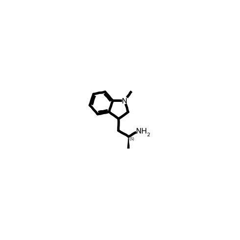 C[C@H](N)CC1CN(C)c2ccccc21